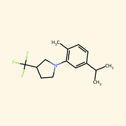 Cc1ccc(C(C)C)cc1N1CCC(C(F)(F)F)C1